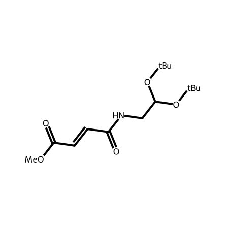 COC(=O)C=CC(=O)NCC(OC(C)(C)C)OC(C)(C)C